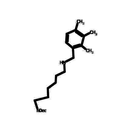 CCCCCCCCCCCCCCCCNCc1ccc(C)c(C)c1C